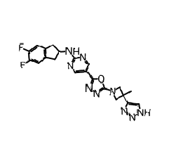 CC1(c2c[nH]nn2)CN(c2nnc(-c3cnc(NC4Cc5cc(F)c(F)cc5C4)nc3)o2)C1